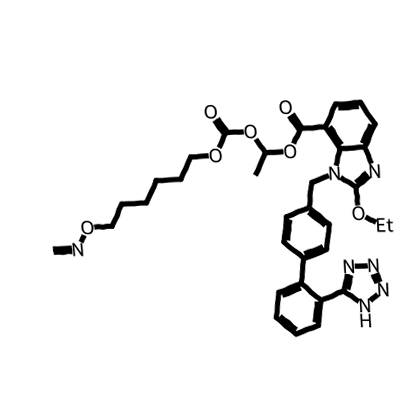 C=NOCCCCCCOC(=O)OC(C)OC(=O)c1cccc2nc(OCC)n(Cc3ccc(-c4ccccc4-c4nnn[nH]4)cc3)c12